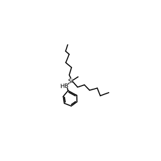 CCCCCC[Si](C)(Bc1ccccc1)CCCCCC